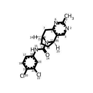 Cc1ncc2c(n1)C[C@@H]1CC[C@H]2N1C(=O)Nc1ccc(Cl)c(Cl)c1